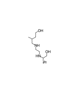 CC(CCO)CNCCNC(CO)C(C)C